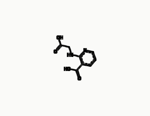 O=C(O)CNc1ncccc1C(=O)O